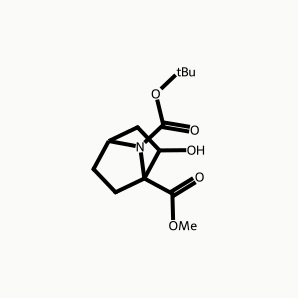 COC(=O)C12CCC(CC1O)N2C(=O)OC(C)(C)C